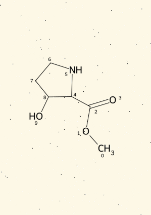 COC(=O)C1NCCC1O